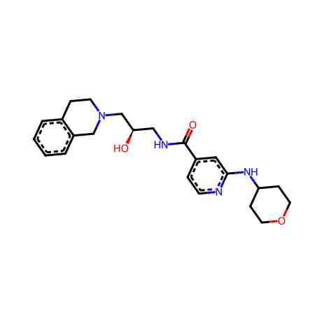 O=C(NC[C@@H](O)CN1CCc2ccccc2C1)c1ccnc(NC2CCOCC2)c1